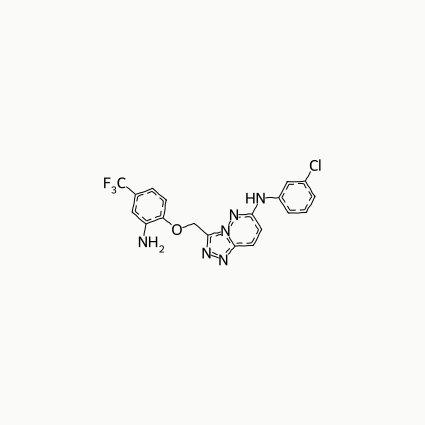 Nc1cc(C(F)(F)F)ccc1OCc1nnc2ccc(Nc3cccc(Cl)c3)nn12